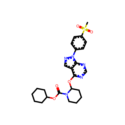 CS(=O)(=O)c1ccc(-n2ncc3c(OC4CCCCN4C(=O)OC4CCCCC4)ncnc32)cc1